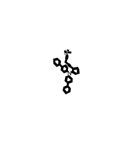 C[Si](C)(C)C#CCC#Cc1ccccc1N(c1ccc(-c2ccccc2)cc1)c1ccc(-c2ccccc2)cc1